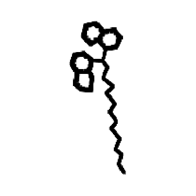 CCCCCCCCCCCCCC(c1cccc2ccccc12)c1cccc2ccccc12